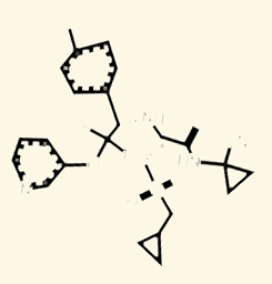 N#CC1(NC(=O)[C@H](CS(=O)(=O)CC2CC2)N[C@@H](c2ccc(F)cc2)C(F)(F)Oc2cccnc2)CC1